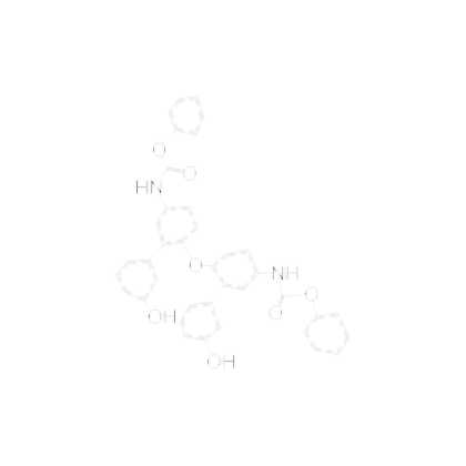 O=C(Nc1ccc(Oc2ccc(NC(=O)Oc3ccccc3)cc2-c2cccc(O)c2)c(-c2cccc(O)c2)c1)Oc1ccccc1